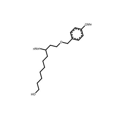 CCCCCCCCCC(CCCCCCCO)CCOCc1ccc(OC)cc1